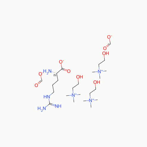 C[N+](C)(C)CCO.C[N+](C)(C)CCO.C[N+](C)(C)CCO.N=C(N)NCCC[C@H](N)C(=O)[O-].O=C[O-].O=C[O-]